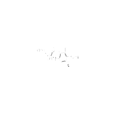 CC(C)(C)NC(=O)Nc1cc(F)c(O)c(F)c1